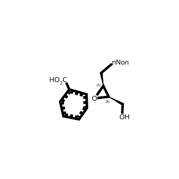 CCCCCCCCCC[C@@H]1O[C@@H]1CO.O=C(O)c1ccccc1